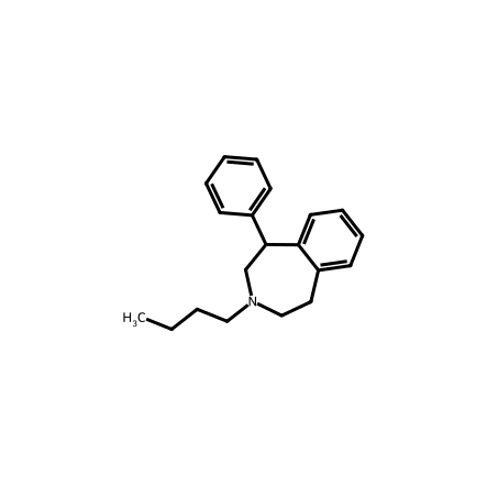 CCCCN1CCc2ccccc2C(c2ccccc2)C1